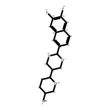 CCCC1CCC(C2COC(c3ccc4cc(F)c(F)cc4c3)OC2)OC1